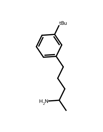 CC(N)CCCc1cccc(C(C)(C)C)c1